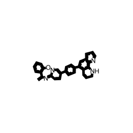 C=C1N=C2C=CC(c3ccc(-c4cc5cccnc5c5c4C=CCN5)cc3)=CN2Oc2ccccc21